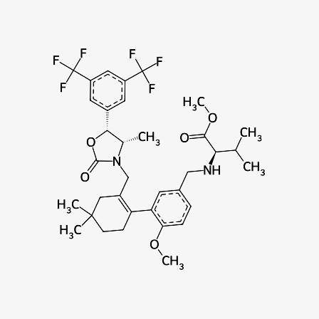 COC(=O)[C@H](NCc1ccc(OC)c(C2=C(CN3C(=O)O[C@H](c4cc(C(F)(F)F)cc(C(F)(F)F)c4)[C@@H]3C)CC(C)(C)CC2)c1)C(C)C